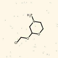 PN1CCOC(OCCl)C1